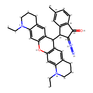 CCN1CCCc2cc3c(cc21)Oc1cc2c(cc1C3C1C(=[N+]=[N-])C(=O)c3ccc(C)cc31)CCCN2CC